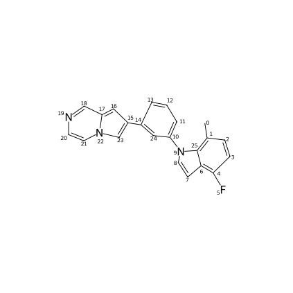 Cc1ccc(F)c2ccn(-c3cccc(-c4cc5cnccn5c4)c3)c12